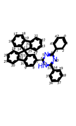 C1=CCC(C2=N[C@H](c3ccc4c(c3)C3(c5ccccc5-c5ccccc53)c3ccccc3-4)NC(c3ccccc3)=N2)C=C1